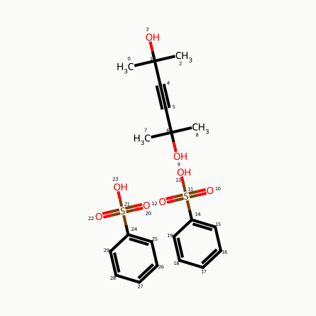 CC(C)(O)C#CC(C)(C)O.O=S(=O)(O)c1ccccc1.O=S(=O)(O)c1ccccc1